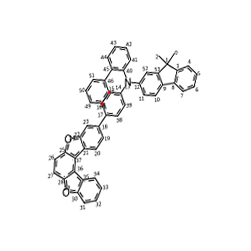 CC1(C)c2ccccc2-c2ccc(N(c3ccc(-c4ccc5c(c4)oc4ccc6oc7ccccc7c6c45)cc3)c3ccccc3-c3ccccc3)cc21